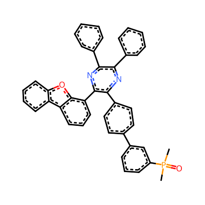 CP(C)(=O)c1cccc(-c2ccc(-c3nc(-c4ccccc4)c(-c4ccccc4)nc3-c3cccc4c3oc3ccccc34)cc2)c1